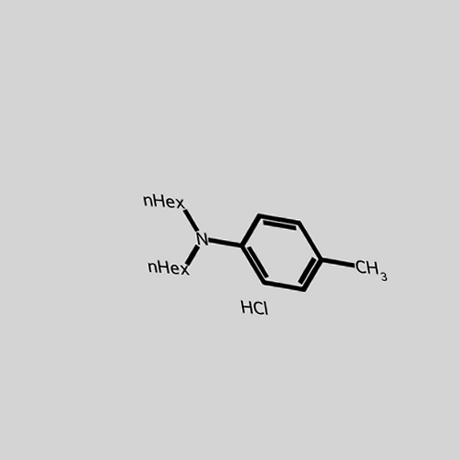 CCCCCCN(CCCCCC)c1ccc(C)cc1.Cl